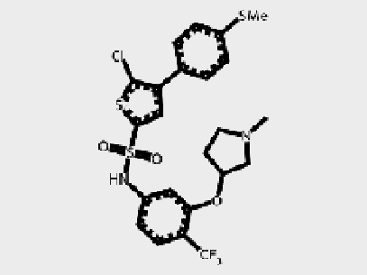 CSc1ccc(-c2cc(S(=O)(=O)Nc3ccc(C(F)(F)F)c(OC4CCN(C)C4)c3)sc2Cl)cc1